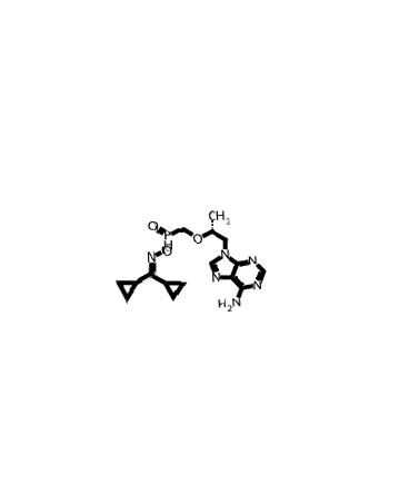 C[C@H](Cn1cnc2c(N)ncnc21)OC[PH](=O)ON=C(C1CC1)C1CC1